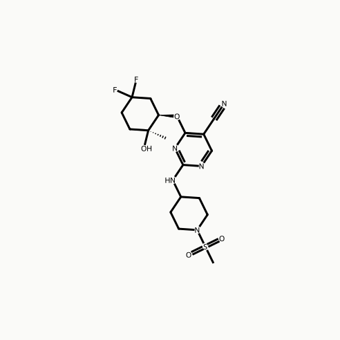 C[C@]1(O)CCC(F)(F)C[C@H]1Oc1nc(NC2CCN(S(C)(=O)=O)CC2)ncc1C#N